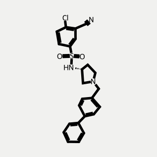 N#Cc1cc(S(=O)(=O)N[C@@H]2CCN(Cc3ccc(-c4ccccc4)cc3)C2)ccc1Cl